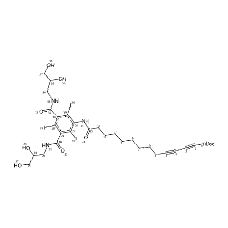 CCCCCCCCCCC#CC#CCCCCCCCCC(=O)Nc1c(I)c(C(=O)NCC(O)CO)c(I)c(C(=O)NCC(O)CO)c1I